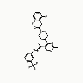 C/C(=N\Oc1ccnc(C(F)(F)F)c1)c1cnc(C)nc1C1CCN(C(=O)Cc2c(F)cccc2F)CC1